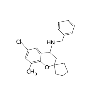 Cc1cc(Cl)cc2c1OC1(CCCC1)CC2NCc1ccccc1